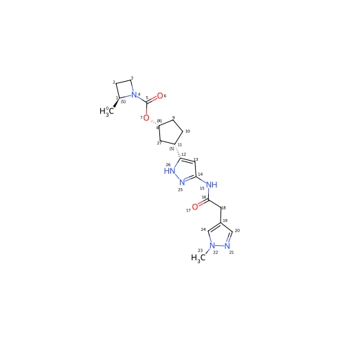 C[C@H]1CCN1C(=O)O[C@@H]1CC[C@H](c2cc(NC(=O)Cc3cnn(C)c3)n[nH]2)C1